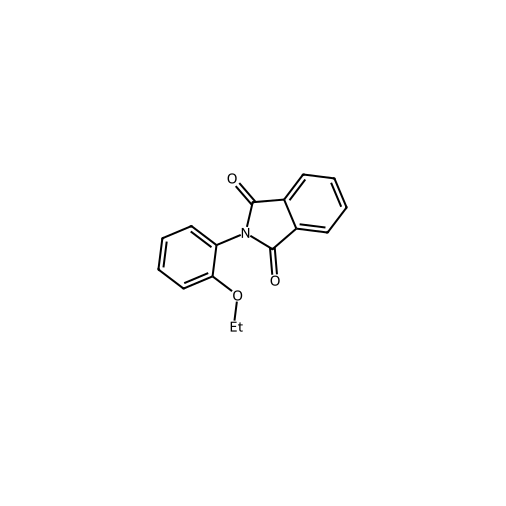 CCOc1ccccc1N1C(=O)c2ccccc2C1=O